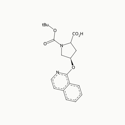 CC(C)(C)OC(=O)N1C[C@H](Oc2nccc3ccccc23)CC1C(=O)O